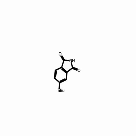 CCCCc1ccc2c(c1)C(=O)NC2=O